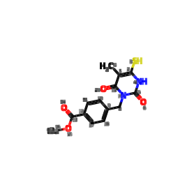 Cc1c(S)[nH]c(=O)n(Cc2ccc(C(=O)OC(C)(C)C)cc2)c1=O